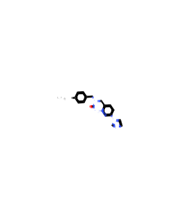 COc1ccc(CN(Cc2ccc(-n3ccnc3)cc2)C(N)=O)cc1